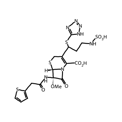 CO[C@@]1(NC(=O)Cc2cccs2)C(=O)N2C(C(=O)O)=C(C(CCNS(=O)(=O)O)Sc3nnn[nH]3)CS[C@H]21